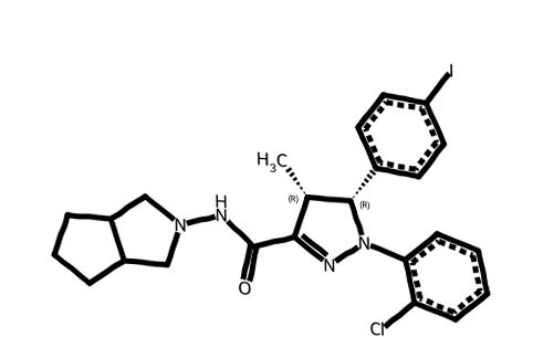 C[C@H]1C(C(=O)NN2CC3CCCC3C2)=NN(c2ccccc2Cl)[C@H]1c1ccc(I)cc1